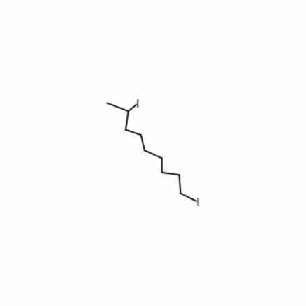 CC(I)CCCCCCCI